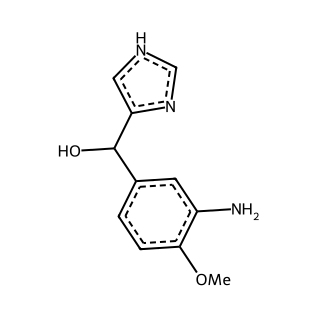 COc1ccc(C(O)c2c[nH]cn2)cc1N